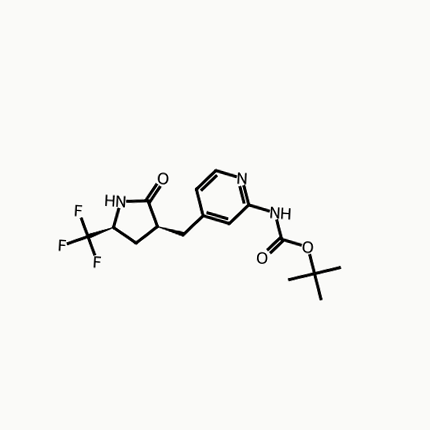 CC(C)(C)OC(=O)Nc1cc(C[C@H]2C[C@@H](C(F)(F)F)NC2=O)ccn1